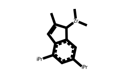 CC1=Cc2c(C(C)C)cc(C(C)C)cc2[CH]1[Zr]([CH3])[CH3]